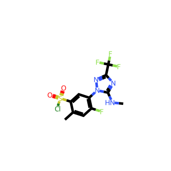 CNc1nc(C(F)(F)F)nn1-c1cc(S(=O)(=O)Cl)c(C)cc1F